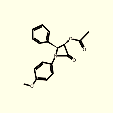 COc1ccc(N2C(=O)[C@H](OC(C)=O)[C@@H]2c2ccccc2)cc1